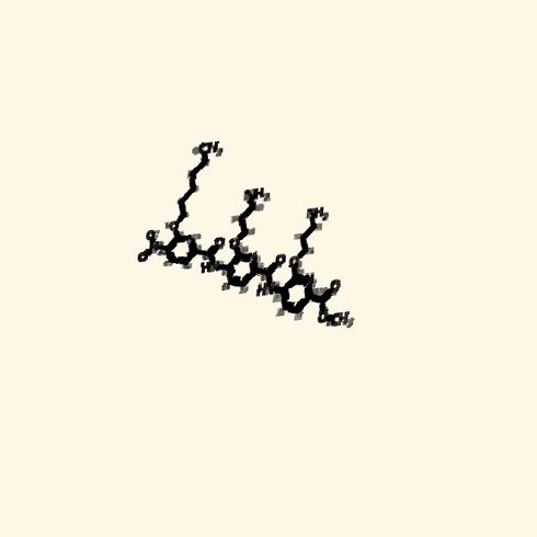 CCCCCCOc1nc(C(=O)Nc2ccc(C(=O)Nc3ccc(C(=O)OC)nc3OCCCN)nc2OCCCN)ccc1[N+](=O)[O-]